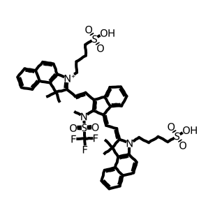 CN(C1=C(/C=C/C2=[N+](CCCCS(=O)(=O)O)c3ccc4ccccc4c3C2(C)C)c2ccccc2/C1=C\C=C1\N(CCCCS(=O)(=O)O)c2ccc3ccccc3c2C1(C)C)S(=O)(=O)C(F)(F)F